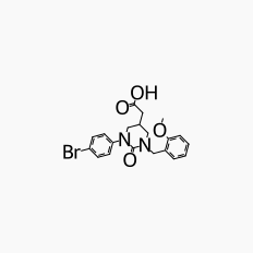 COc1ccccc1CN1CC(CC(=O)O)CN(c2ccc(Br)cc2)C1=O